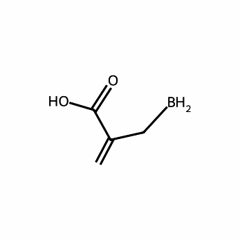 BCC(=C)C(=O)O